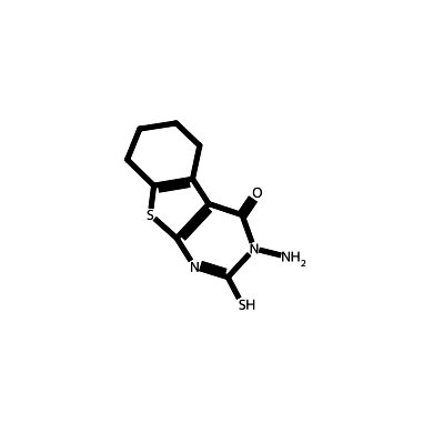 Nn1c(S)nc2sc3c(c2c1=O)CCCC3